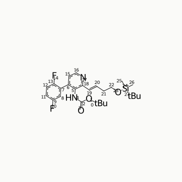 CC(C)(C)OC(=O)Nc1c(-c2cc(F)ccc2F)ccnc1C=CCCO[Si](C)(C)C(C)(C)C